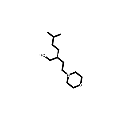 CC(C)CC[C@H](CO)CCN1CCOCC1